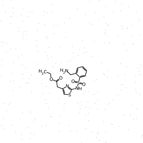 CCOC(=O)Cc1csc(NS(=O)(=O)c2ccccc2CN)n1